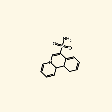 NS(=O)(=O)C1=CN2C=CC=CC2C2CC=CC=C12